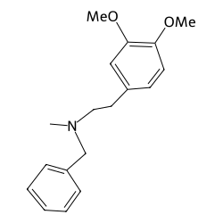 COc1ccc(CCN(C)Cc2ccccc2)cc1OC